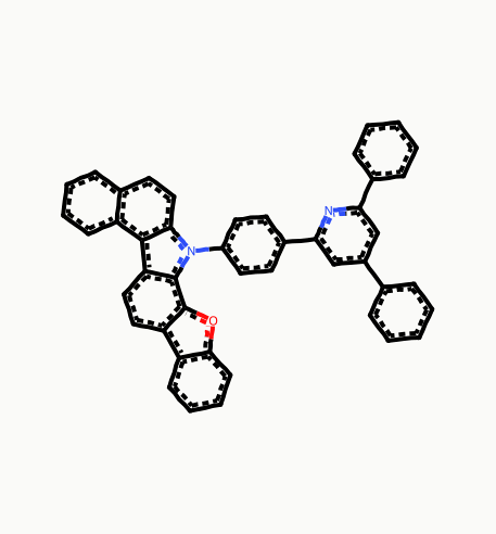 c1ccc(-c2cc(-c3ccccc3)nc(-c3ccc(-n4c5ccc6ccccc6c5c5ccc6c7ccccc7oc6c54)cc3)c2)cc1